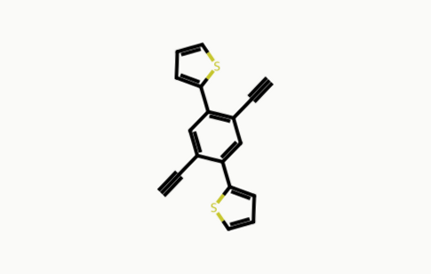 C#Cc1cc(-c2cccs2)c(C#C)cc1-c1cccs1